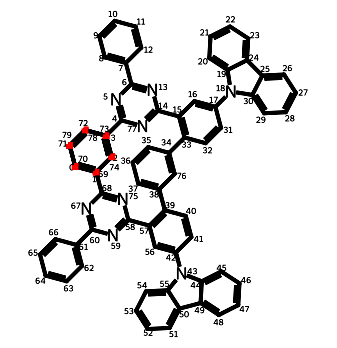 c1ccc(-c2nc(-c3ccccc3)nc(-c3cc(-n4c5ccccc5c5ccccc54)ccc3-c3cccc(-c4ccc(-n5c6ccccc6c6ccccc65)cc4-c4nc(-c5ccccc5)nc(-c5ccccc5)n4)c3)n2)cc1